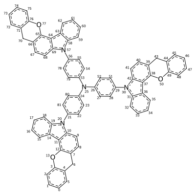 c1ccc2c(c1)Cc1ccc3c(c1O2)c1ccccc1n3-c1ccc(N(c2ccc(-n3c4ccccc4c4c5c(ccc43)Cc3ccccc3O5)cc2)c2ccc(-n3c4ccccc4c4c5c(ccc43)Cc3ccccc3O5)cc2)cc1